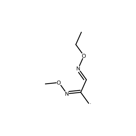 [CH2]C(C=NOCC)=NOC